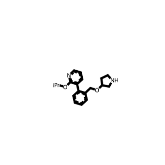 CC(C)Oc1ncccc1-c1ccccc1COC1CCNC1